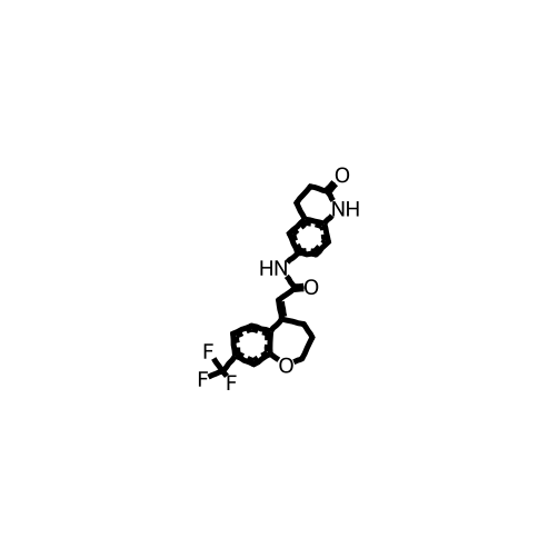 O=C(/C=C1\CCCOc2cc(C(F)(F)F)ccc21)Nc1ccc2c(c1)CCC(=O)N2